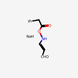 CC(C)CC(=O)ONC=CC=O.[NaH]